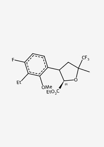 CCOC(=O)[C@@H]1OC(C)(C(F)(F)F)CC1c1ccc(F)c(CC)c1OC